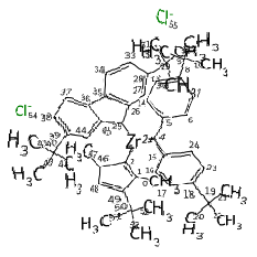 CC1=[C]([Zr+2](=[C](c2ccc(C(C)(C)C)cc2)c2ccc(C(C)(C)C)cc2)[CH]2c3cc(C(C)(C)C)ccc3-c3ccc(C(C)(C)C)cc32)C(C)C=C1C(C)(C)C.[Cl-].[Cl-]